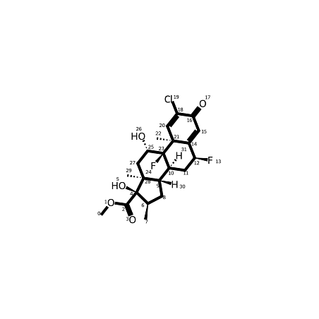 COC(=O)[C@@]1(O)[C@H](C)C[C@H]2[C@@H]3C[C@H](F)C4=CC(=O)C(Cl)=C[C@]4(C)[C@@]3(F)[C@@H](O)C[C@@]21C